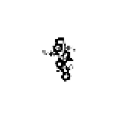 CC(C)(C)OC(=O)n1c(C(N)(CC2CC2CN2C(=O)c3ccccc3C2=O)[C@@H]2CCCc3cccnc32)nc2ccccc21